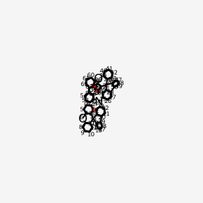 c1ccc2c(c1)Oc1ccccc1C21c2ccccc2-c2ccc(N(c3ccc4c(c3)C3(c5ccccc5Oc5ccccc53)c3ccccc3-4)c3cccc4c3sc3ccccc34)cc21